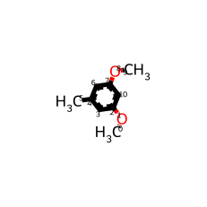 COc1cc(C)cc(OC)c1